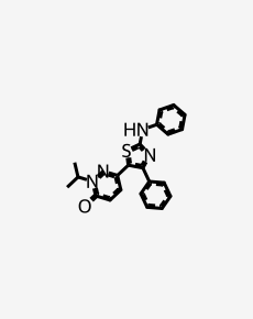 CC(C)n1nc(-c2sc(Nc3ccccc3)nc2-c2ccccc2)ccc1=O